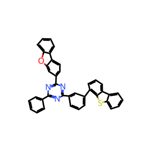 c1ccc(-c2nc(-c3cccc(-c4cccc5c4sc4ccccc45)c3)nc(-c3ccc4c(c3)oc3ccccc34)n2)cc1